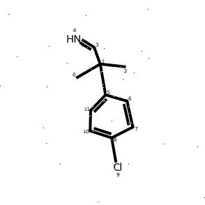 CC(C)(C=N)c1ccc(Cl)cc1